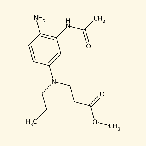 CCCN(CCC(=O)OC)c1ccc(N)c(NC(C)=O)c1